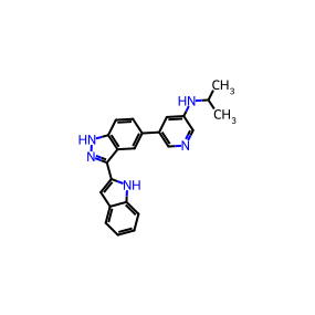 CC(C)Nc1cncc(-c2ccc3[nH]nc(-c4cc5ccccc5[nH]4)c3c2)c1